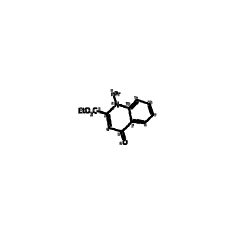 CCCn1c(C(=O)OCC)cc(=O)c2ccccc21